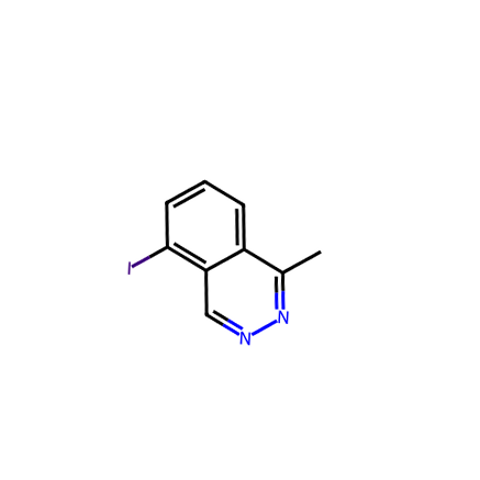 Cc1nncc2c(I)cccc12